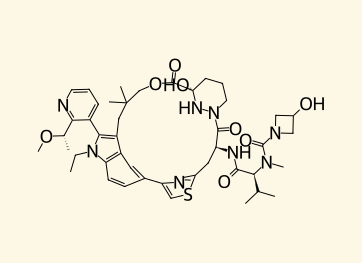 CCn1c(-c2cccnc2[C@H](C)OC)c2c3cc(ccc31)-c1csc(n1)C[C@H](NC(=O)[C@H](C(C)C)N(C)C(=O)N1CC(O)C1)C(=O)N1CCC[C@@](O)(N1)C(=O)OCC(C)(C)C2